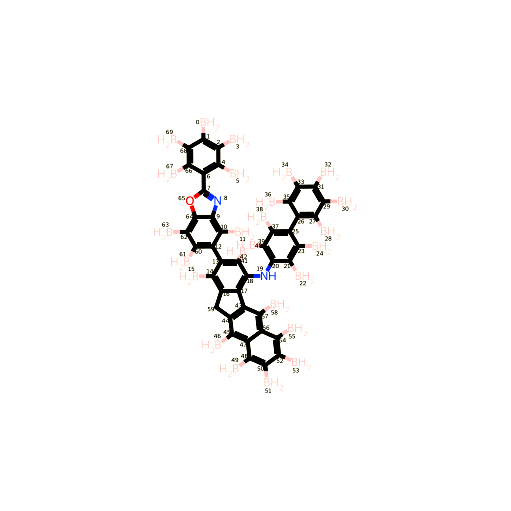 Bc1c(B)c(B)c(-c2nc3c(B)c(-c4c(B)c5c(c(Nc6c(B)c(B)c(-c7c(B)c(B)c(B)c(B)c7B)c(B)c6B)c4B)-c4c(c(B)c6c(B)c(B)c(B)c(B)c6c4B)C5)c(B)c(B)c3o2)c(B)c1B